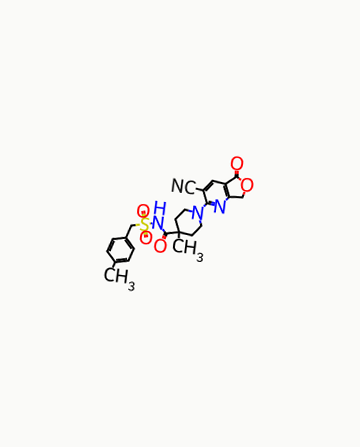 Cc1ccc(CS(=O)(=O)NC(=O)C2(C)CCN(c3nc4c(cc3C#N)C(=O)OC4)CC2)cc1